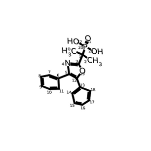 CC(C)(c1nc(-c2ccccc2)c(-c2ccccc2)o1)P(=O)(O)O